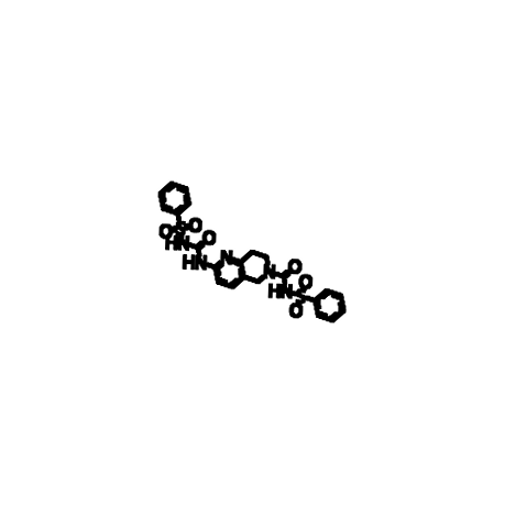 O=C(Nc1ccc2c(n1)CCN(C(=O)NS(=O)(=O)c1ccccc1)C2)NS(=O)(=O)c1ccccc1